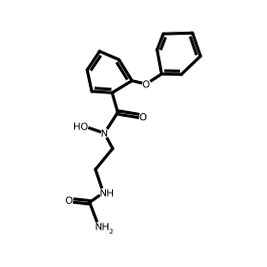 NC(=O)NCCN(O)C(=O)c1ccccc1Oc1ccccc1